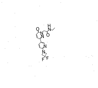 CCNC(=O)Cn1nc(-c2ccc(N3CC(F)(F)C3)nc2)ccc1=O